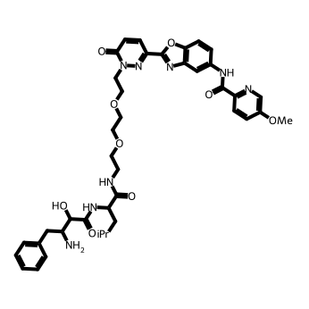 COc1ccc(C(=O)Nc2ccc3oc(-c4ccc(=O)n(CCOCCOCCNC(=O)C(CC(C)C)NC(=O)C(O)C(N)Cc5ccccc5)n4)nc3c2)nc1